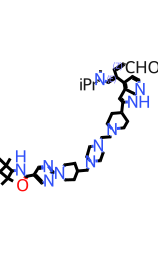 CC(C)N(C)/C=C(\C=C/C=O)c1ccnc2[nH]c(C3CCN(CCN4CCN(CC5CCN(c6ncc(C(=O)NC7C(C)(C)CC7(C)C)cn6)CC5)CC4)CC3)cc12